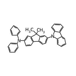 CC1(C)c2cc(N(c3ccccc3)c3ccccc3)ccc2-c2ccc(-n3c4ccccc4c4ccccc43)cc21